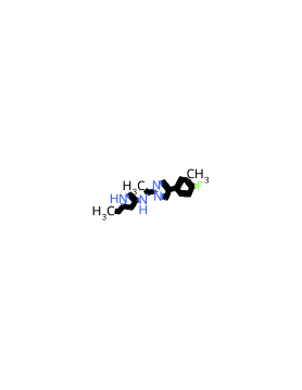 CCC1CC(NC(C)c2ncc(-c3ccc(F)c(C)c3)cn2)=CN1